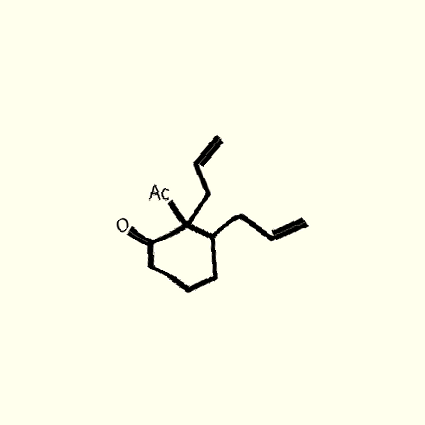 C=CCC1CCCC(=O)C1(CC=C)C(C)=O